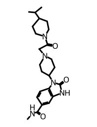 CNC(=O)c1ccc2c(c1)[nH]c(=O)n2C1CCN(CC(=O)N2CCC(C(C)C)CC2)CC1